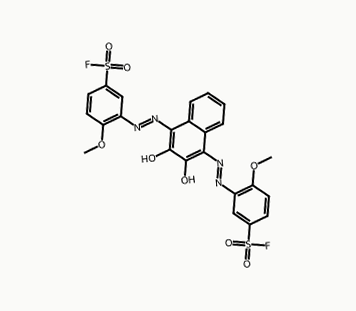 COc1ccc(S(=O)(=O)F)cc1N=Nc1c(O)c(O)c(N=Nc2cc(S(=O)(=O)F)ccc2OC)c2ccccc12